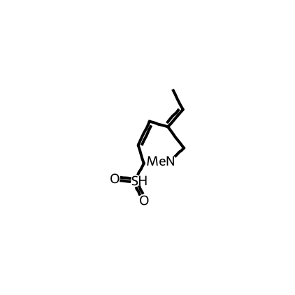 C/C=C(\C=C/C[SH](=O)=O)CNC